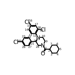 O=C(C1CCCCC1)N1CCN(c2ccc(Cl)cc2Cl)C(c2ccc(Cl)cc2)C1